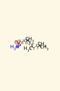 CC(C)=CCCC(C)=CCCC(C)=CCCCC(=O)ON